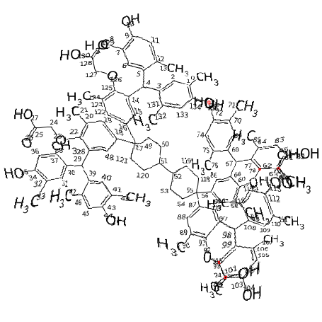 Cc1cc(C(c2cc(C)c(O)cc2C)c2cc(C3(c4cc(C)c(OCC(=O)O)c(C(c5cc(C)c(O)cc5C)c5cc(C)c(O)cc5C)c4)CCC(C4CCC(c5cc(C)c(OCC(=O)O)c(C(c6cc(C)c(O)cc6C)c6cc(C)c(O)cc6C)c5)(c5cc(C)c(OCC(=O)O)c(C(c6cc(C)c(O)cc6C)c6cc(C)c(O)cc6C)c5)CC4)CC3)cc(C)c2OCC(=O)O)c(C)cc1O